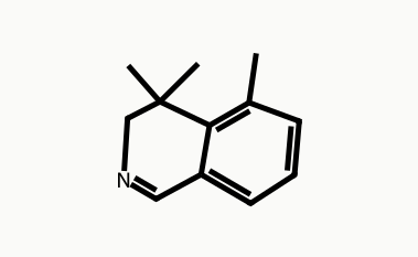 Cc1cccc2c1C(C)(C)CN=C2